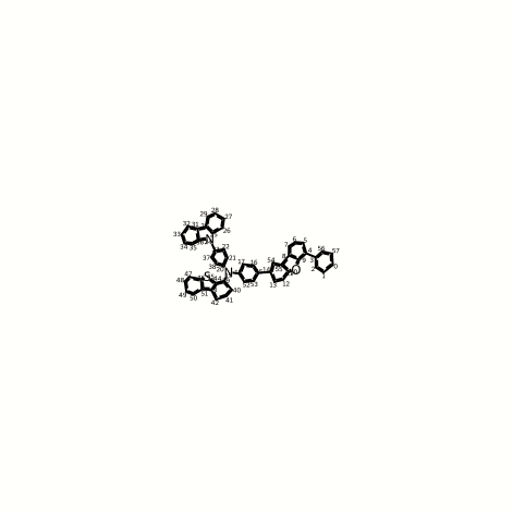 c1ccc(-c2cccc3c2oc2ccc(-c4ccc(N(c5ccc(-n6c7ccccc7c7ccccc76)cc5)c5cccc6c5sc5ccccc56)cc4)cc23)cc1